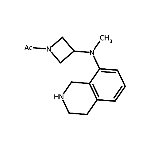 CC(=O)N1CC(N(C)c2cccc3c2CNCC3)C1